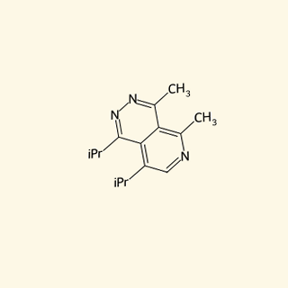 Cc1ncc(C(C)C)c2c(C(C)C)nnc(C)c12